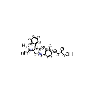 CCC/N=C1\S/C(=C/c2ccc(OCC(=O)CO)c(Cl)c2)C(=O)N1c1ccccc1C